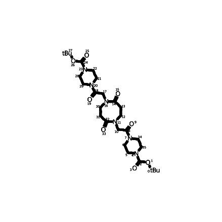 CC(C)(C)OC(=O)N1CCN(C(=O)CN2CCC(=O)N(CC(=O)N3CCN(C(=O)OC(C)(C)C)CC3)CCC2=O)CC1